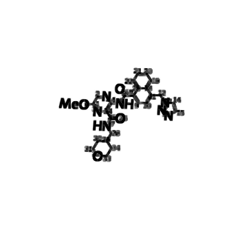 COc1cnc(NC(=O)c2ccc(Cn3ccnn3)c3ccccc23)c(C(=O)NCC2CCOCC2)n1